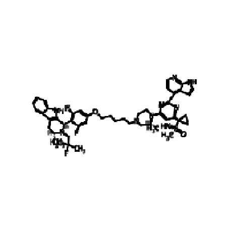 C[C@@H]1CN(CCCCCOc2cc(F)c([C@@H]3c4[nH]c5ccccc5c4C[C@@H](C)N3CC(C)(C)F)c(F)c2)CCN1c1cc(C2([S@](C)(=N)=O)CC2)nc(-c2ccnc3[nH]ccc23)n1